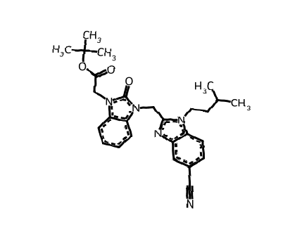 CC(C)CCn1c(Cn2c(=O)n(CC(=O)OC(C)(C)C)c3ccccc32)nc2cc(C#N)ccc21